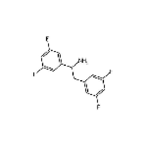 NC(Cc1cc(F)cc(F)c1)c1cc(F)cc(F)c1